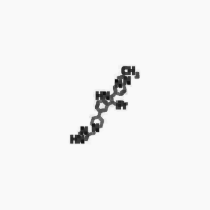 Cc1cn2cc(-c3[nH]c4ccc(C5CCN(Cc6c[nH]cn6)CC5)cc4c3C(C)C)ccc2n1